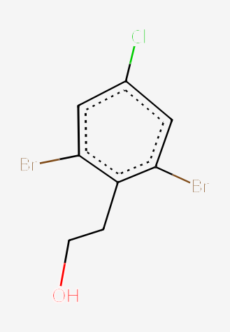 OCCc1c(Br)cc(Cl)cc1Br